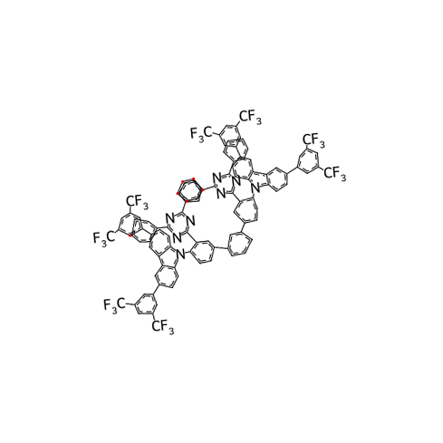 FC(F)(F)c1cc(-c2ccc3c(c2)c2cc(-c4cc(C(F)(F)F)cc(C(F)(F)F)c4)ccc2n3-c2ccc(-c3cccc(-c4ccc(-n5c6ccc(-c7cc(C(F)(F)F)cc(C(F)(F)F)c7)cc6c6cc(-c7cc(C(F)(F)F)cc(C(F)(F)F)c7)ccc65)c(-c5nc(-c6ccccc6)nc(-c6ccccc6)n5)c4)c3)cc2-c2nc(-c3ccccc3)nc(-c3ccccc3)n2)cc(C(F)(F)F)c1